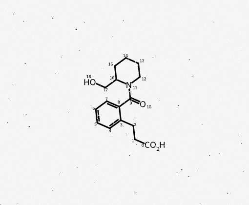 O=C(O)CCc1ccccc1C(=O)N1CCCCC1CO